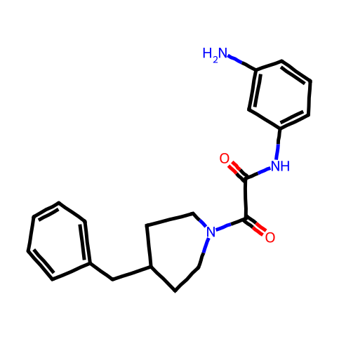 Nc1cccc(NC(=O)C(=O)N2CCC(Cc3ccccc3)CC2)c1